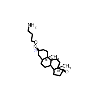 C[C@]12CC/C(=N\OCCCN)CC1CCC1C2CC[C@]2(C)C(=O)CCC12